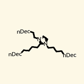 CCCCCCCCCCCCCCc1n(CCCCCCCCCCCCCC)cc[n+]1CCCCCCCCCCCC